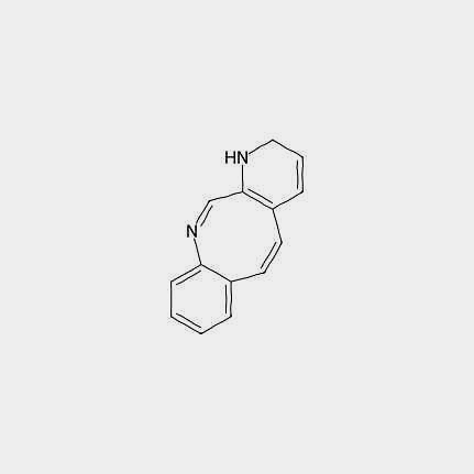 C1=CC2=C(C=Nc3ccccc3C=C2)NC1